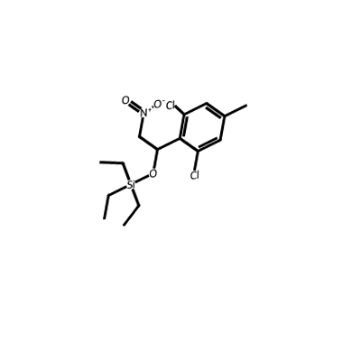 CC[Si](CC)(CC)OC(C[N+](=O)[O-])c1c(Cl)cc(C)cc1Cl